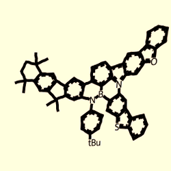 CC(C)(C)c1ccc(N2B3c4cc5sc6ccccc6c5cc4-n4c5cc6oc7ccccc7c6cc5c5ccc(c3c54)-c3cc4c(cc32)C(C)(C)c2cc3c(cc2-4)C(C)(C)CCC3(C)C)cc1